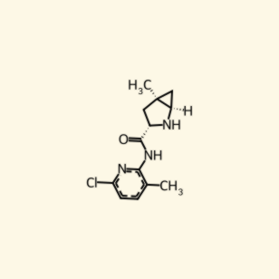 Cc1ccc(Cl)nc1NC(=O)[C@@H]1C[C@@]2(C)C[C@H]2N1